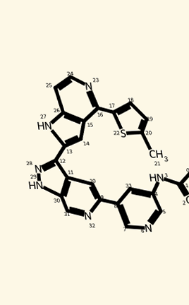 CCCC(=O)Nc1cncc(-c2cc3c(-c4cc5c(-c6ccc(C)s6)nccc5[nH]4)n[nH]c3cn2)c1